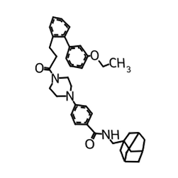 CCOc1cccc(-c2ccccc2CCC(=O)N2CCN(c3ccc(C(=O)NCC45CC6CC(CC(C6)C4)C5)cc3)CC2)c1